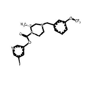 C[C@@H]1CN(Cc2cccc(OC(F)(F)F)c2)CCN1C(=O)Oc1cncc(F)c1